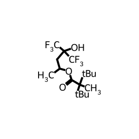 CC(CC(O)(C(F)(F)F)C(F)(F)F)OC(=O)C(C)(C(C)(C)C)C(C)(C)C